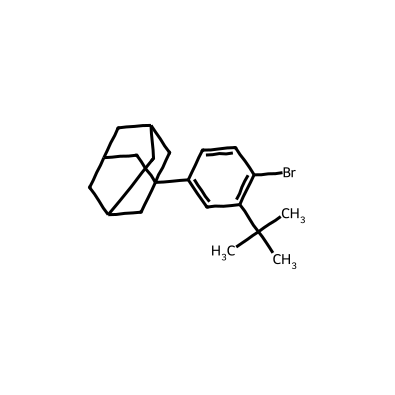 CC(C)(C)c1cc(C23CC4CC(CC(C4)C2)C3)ccc1Br